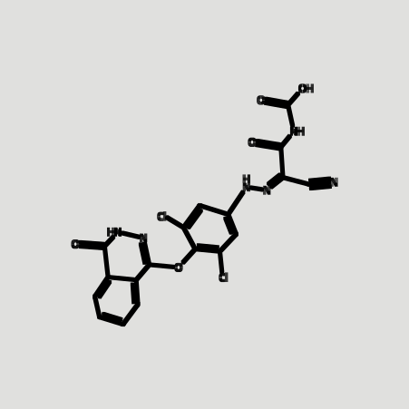 N#CC(=NNc1cc(Cl)c(Oc2n[nH]c(=O)c3ccccc23)c(Cl)c1)C(=O)NC(=O)O